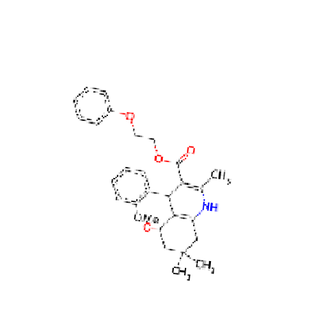 COc1ccccc1C1C(C(=O)OCCOc2ccccc2)=C(C)NC2=C1C(=O)CC(C)(C)C2